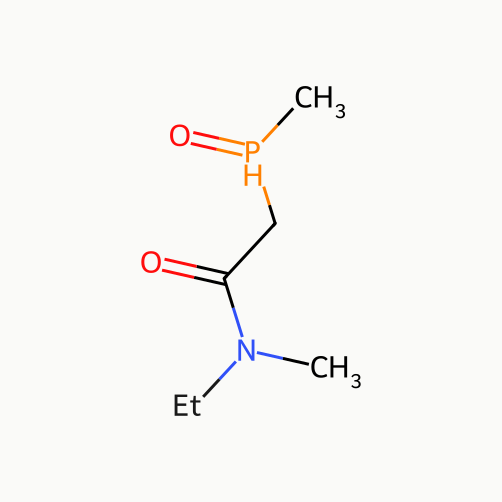 CCN(C)C(=O)C[PH](C)=O